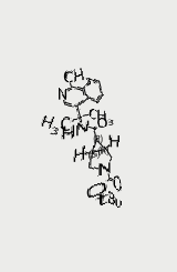 Cc1ncc(C(C)(C)NC(=O)[C@H]2[C@@H]3CN(C(=O)OC(C)(C)C)C[C@@H]32)c2ccccc12